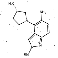 C[C@H]1CCN(c2c(N)ccc3nn(C(C)(C)C)cc23)C1